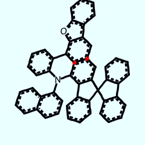 c1ccc(N(c2cccc3c2-c2ccccc2C32c3ccccc3-c3ccccc32)c2cccc3ccccc23)c(-c2cccc3c2oc2ccccc23)c1